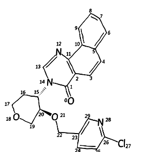 O=c1c2ccc3ccccc3c2ncn1[C@H]1CCOC[C@@H]1OCc1ccc(Cl)nc1